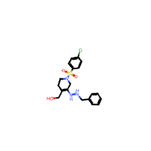 O=S(=O)(c1ccc(Cl)cc1)N1CCC(CO)=C(NNCc2ccccc2)C1